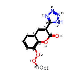 CCCCCCCCOOc1cccc2cc(-c3nnn[nH]3)c(=O)oc12